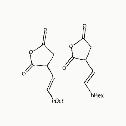 CCCCCCC=CC1CC(=O)OC1=O.CCCCCCCCC=CC1CC(=O)OC1=O